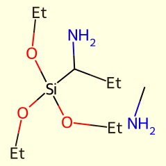 CCO[Si](OCC)(OCC)C(N)CC.CN